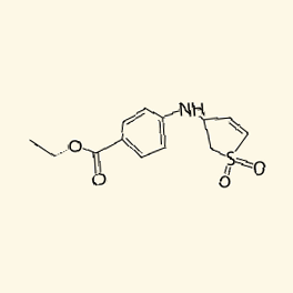 CCOC(=O)c1ccc(NC2C=CS(=O)(=O)C2)cc1